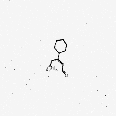 CCC(=CC=O)C1CCCCC1